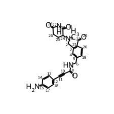 CN(Cc1cc(CNC(=O)C#Cc2ccc(N)cc2)ccc1C=O)C1CCC(=O)NC1=O